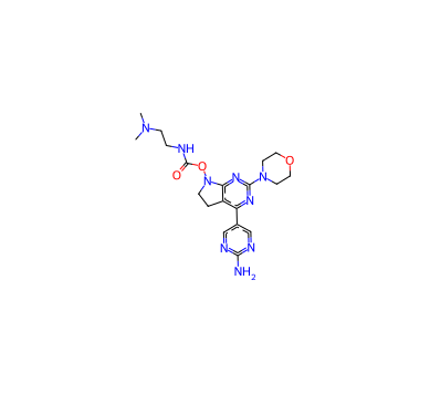 CN(C)CCNC(=O)ON1CCc2c(-c3cnc(N)nc3)nc(N3CCOCC3)nc21